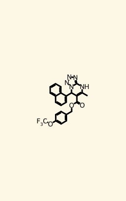 CC1=C(C(=O)OCc2ccc(OC(F)(F)F)cc2)C(c2cccc3ccccc23)n2nnnc2N1